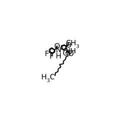 CCCCCCCCCCCCS(=O)(=O)Nc1cc(NC(=O)c2ccc(F)c(F)c2)ccc1OC